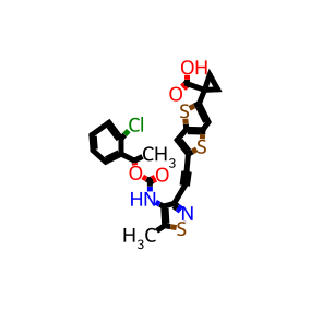 Cc1snc(C#Cc2cc3sc(C4(C(=O)O)CC4)cc3s2)c1NC(=O)OC(C)c1ccccc1Cl